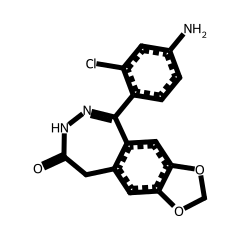 Nc1ccc(C2=NNC(=O)Cc3cc4c(cc32)OCO4)c(Cl)c1